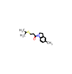 Cc1ccc2c(c1)CCN2C(=O)CCSC(C)C